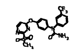 CS(=O)(=O)c1nccc(Oc2ccc(N(C(N)=O)c3cccc(C(F)(F)F)c3)cc2)n1